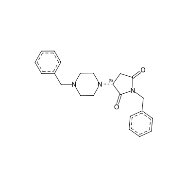 O=C1C[C@@H](N2CCN(Cc3ccccc3)CC2)C(=O)N1Cc1ccccc1